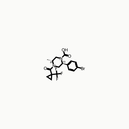 C[C@@H]1CN(C(=O)O)[C@@H](c2ccc(Br)cc2)CN1C(=O)C1(C(F)(F)F)CC1